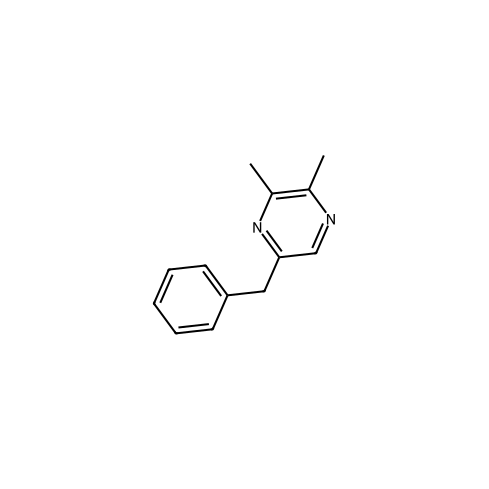 Cc1ncc(Cc2ccccc2)nc1C